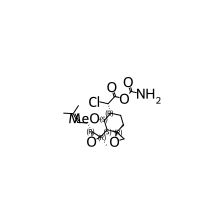 CO[C@@H]1[C@H](C(Cl)C(=O)OC(N)=O)CC[C@]2(CO2)[C@H]1[C@@]1(C)O[C@@H]1CC=C(C)C